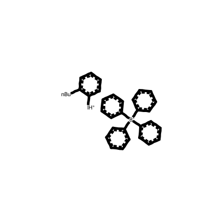 CCCCc1ccccc1[IH+].c1ccc([B-](c2ccccc2)(c2ccccc2)c2ccccc2)cc1